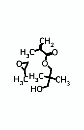 C=C(C)C(=O)OCC(C)(C)CO.CC1CO1